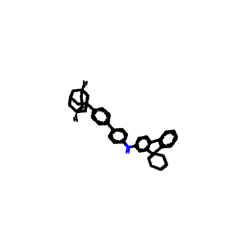 c1ccc2c(c1)-c1ccc(Nc3ccc(-c4ccc(C56CC7C[C@H](C5)C[C@H](C7)C6)cc4)cc3)cc1C21CCCCC1